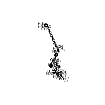 CC[C@H](C)[C@@H]([C@@H](CC(=O)N1CCC[C@H]1[C@H](OC)[C@@H](C)C(=O)N[C@@H](Cc1ccccc1)C(=O)NOCc1ccc(NC(=O)[C@@H](C)NC(O)CCOCCOCCOCCOCCNC(=O)c2ccc(N)c(N)c2)cc1)OC)N(C)C(=O)[C@@H](NC(=O)[C@H](C(C)C)N(C)C)C(C)C